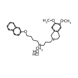 COc1cc2c(cc1OC)CN(CCCN(C)CCCCOc1ccc3ccccc3c1)CC2.Cl.Cl